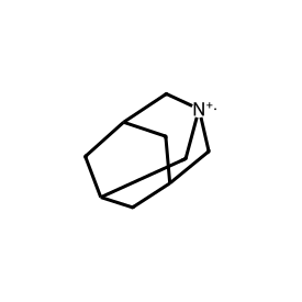 C1C2CC3CC1C[N+](C2)C3